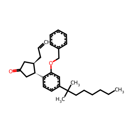 C=CC[C@@H]1CC(=O)C[C@H]1c1ccc(C(C)(C)CCCCCC)cc1OCc1ccccc1